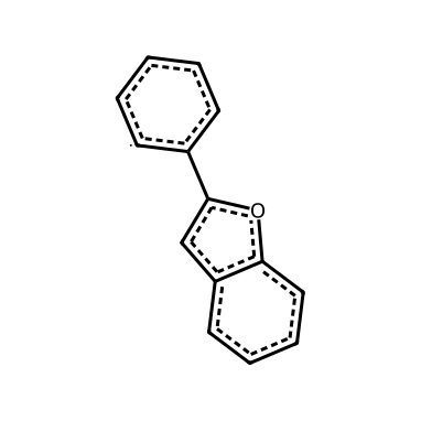 [c]1ccccc1-c1cc2ccccc2o1